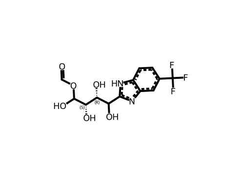 O=COC(O)[C@@H](O)[C@H](O)C(O)c1nc2cc(C(F)(F)F)ccc2[nH]1